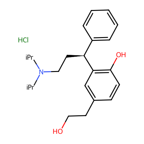 CC(C)N(CC[C@@H](c1ccccc1)c1cc(CCO)ccc1O)C(C)C.Cl